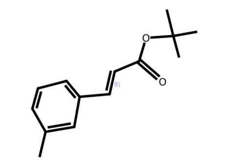 Cc1cccc(/C=C/C(=O)OC(C)(C)C)c1